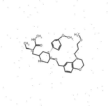 CC[C@H](CC1C[C@H](c2ccc(OC)cc2)[C@@H](OCc2ccc3c(c2)N(CCCOC)CCO3)CN1)C(=O)NC